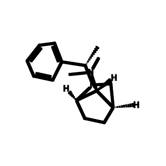 C[C@@H](c1ccccc1)N1C[C@H]2CC[C@@H]1[C@@H]2N(C)C